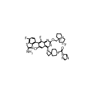 Nc1nc2c(-c3c(Cl)cc4c(N5CCC56CCN(C(=O)n5cncn5)CC6)nc(OC[C@@]56CCCN5C[C@H](F)C6)nc4c3F)ccc(F)c2s1